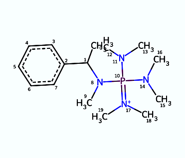 CC(c1ccccc1)N(C)P(N(C)C)(N(C)C)=[N+](C)C